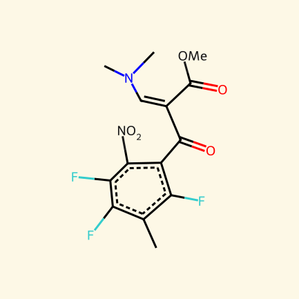 COC(=O)C(=CN(C)C)C(=O)c1c(F)c(C)c(F)c(F)c1[N+](=O)[O-]